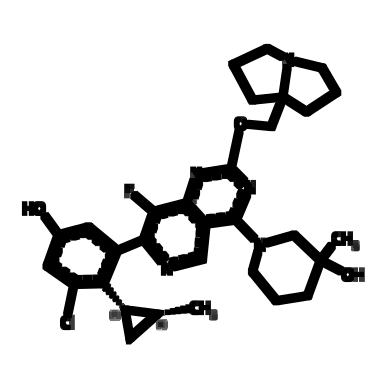 C[C@@H]1C[C@@H]1c1c(Cl)cc(O)cc1-c1ncc2c(N3CCCC(C)(O)C3)nc(OCC34CCCN3CCC4)nc2c1F